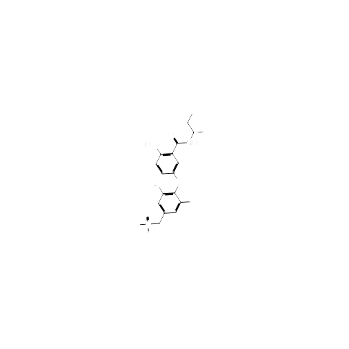 CC(C)C[C@H](NC(=O)c1cc(Oc2c(Br)cc(CP(C)(=O)O)cc2Br)ccc1O)C(=O)O